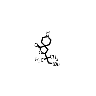 CC(C)(C)CC(C)(C)C1CC2(CCNCC2)C(=O)O1